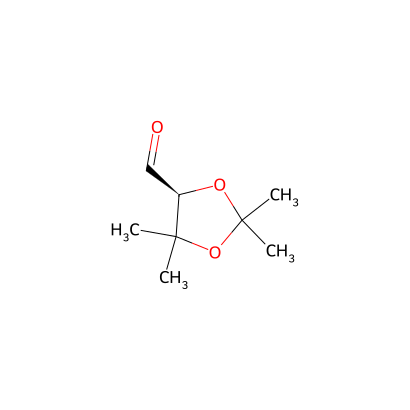 CC1(C)O[C@H](C=O)C(C)(C)O1